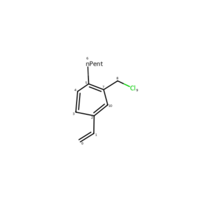 C=Cc1ccc(CCCCC)c(CCl)c1